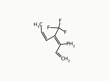 C=C/C(P)=C(\C=C/C)C(F)(F)F